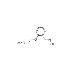 COCCOc1ccccc1C=NO